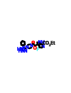 CCOC(=O)c1ncc(F)c2c(C(=O)C(=O)N3CCN(C4=NNNN4c4ccccc4)CC3)c[nH]c12